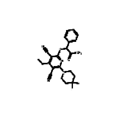 CCc1c(C#N)c(SC(C(N)=O)c2ccccc2)nc(N2CCC(F)(F)CC2)c1C#N